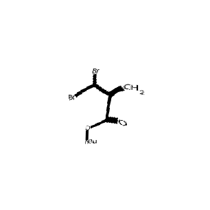 C=C(C(=O)OCCCC)C(Br)Br